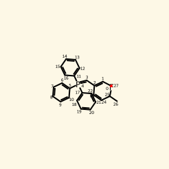 C/C=C(C=P(c1ccccc1)(c1ccccc1)c1ccccc1)\C=C/C(C)F